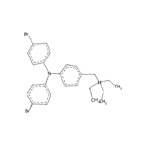 CC[N+](CC)(CC)Cc1ccc(N(c2ccc(Br)cc2)c2ccc(Br)cc2)cc1